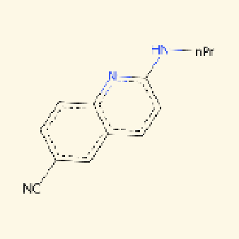 CCCNc1ccc2cc(C#N)ccc2n1